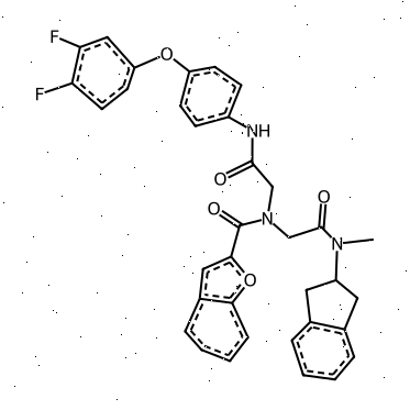 CN(C(=O)CN(CC(=O)Nc1ccc(Oc2ccc(F)c(F)c2)cc1)C(=O)c1cc2ccccc2o1)C1Cc2ccccc2C1